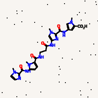 Cn1cc(NC(=O)c2nc(NC(=O)CCNC(=O)c3ccc(NC(=O)c4nccn4C)n3C)cn2C)cc1C(=O)O